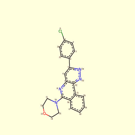 Clc1ccc(-c2cc3nc(N4CCOCC4)c4ccccc4c3nn2)cc1